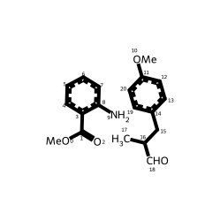 COC(=O)c1ccccc1N.COc1ccc(CC(C)C=O)cc1